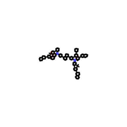 CC1(C)c2cc(-c3ccc4ccccc4c3)ccc2-c2ccc(N(c3ccc(-c4cccc5c(-c6ccc(N(c7ccc(-c8ccc9ccccc9c8)cc7)c7ccc8c(c7)C(C)(C)c7cc(-c9ccc%10ccccc%10c9)ccc7-8)c(-c7cccc(-c8ccccc8)c7)c6)cccc45)cc3)c3ccccc3-c3cccc(-c4ccccc4)c3)cc21